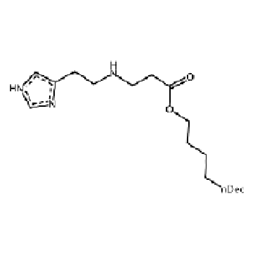 CCCCCCCCCCCCCCOC(=O)CCNCCc1c[nH]cn1